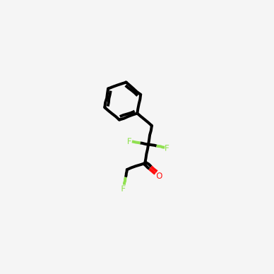 O=C(CF)C(F)(F)Cc1ccccc1